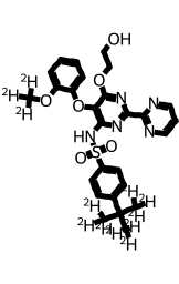 [2H]C([2H])([2H])Oc1ccccc1Oc1c(NS(=O)(=O)c2ccc(C(C([2H])([2H])[2H])(C([2H])([2H])[2H])C([2H])([2H])[2H])cc2)nc(-c2ncccn2)nc1OCCO